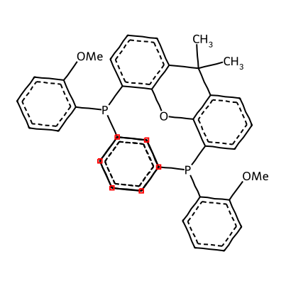 COc1ccccc1P(c1ccccc1)c1cccc2c1Oc1c(P(c3ccccc3)c3ccccc3OC)cccc1C2(C)C